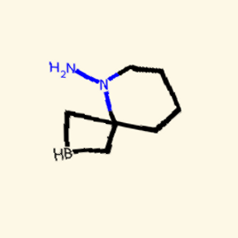 NN1CCCCC12CBC2